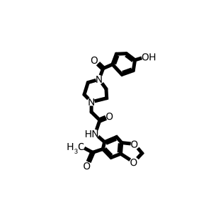 CC(=O)c1cc2c(cc1NC(=O)CN1CCN(C(=O)c3ccc(O)cc3)CC1)OCO2